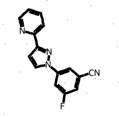 N#Cc1cc(F)cc(-n2ccc(-c3ccccn3)n2)c1